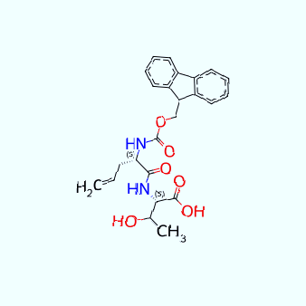 C=CC[C@H](NC(=O)OCC1c2ccccc2-c2ccccc21)C(=O)N[C@H](C(=O)O)C(C)O